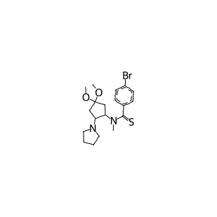 COC1(OC)CC(N2CCCC2)C(N(C)C(=S)c2ccc(Br)cc2)C1